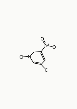 O=[N+]([O-])C1=CC(Cl)=CN(Cl)C1